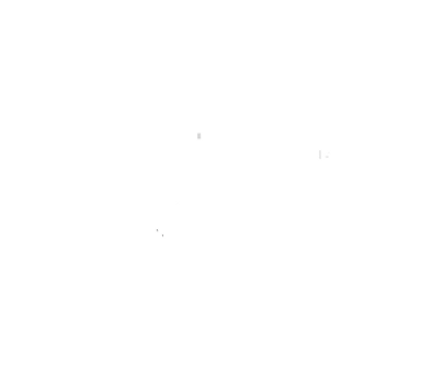 Brc1ccc(-c2ccccn2)cc1.[Cl][Ir][Cl]